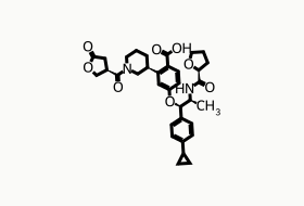 C[C@H](NC(=O)[C@@H]1CCCO1)[C@H](Oc1ccc(C(=O)O)c([C@@H]2CCCN(C(=O)[C@H]3COC(=O)C3)C2)c1)c1ccc(C2CC2)cc1